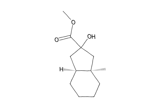 COC(=O)C1(O)C[C@@H]2CCCC[C@]2(C)C1